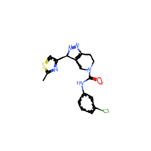 Cc1nc(C2N=NC3=C2CN(C(=O)Nc2cccc(Cl)c2)CC3)cs1